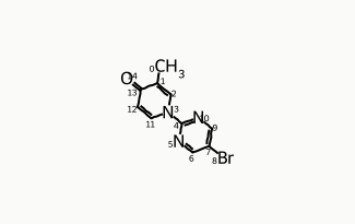 Cc1cn(-c2ncc(Br)cn2)ccc1=O